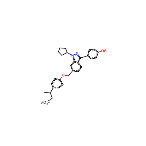 CC(CC(=O)O)c1ccc(OCc2ccc3c(-c4ccc(O)cc4)nn(C4CCCC4)c3c2)cc1